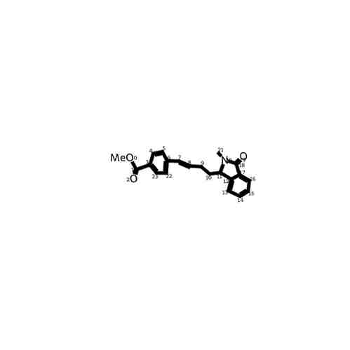 COC(=O)c1ccc(C=CCCC2c3ccccc3C(=O)N2C)cc1